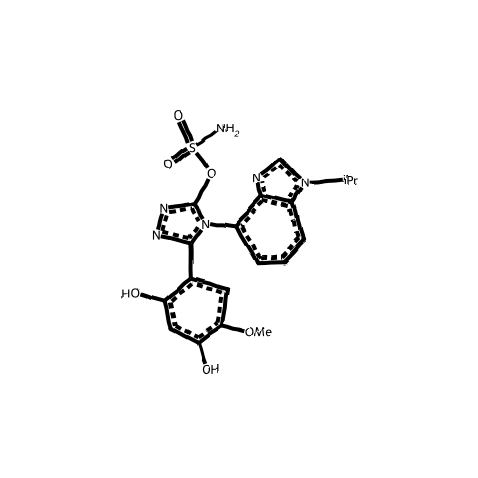 COc1cc(-c2nnc(OS(N)(=O)=O)n2-c2cccc3c2ncn3C(C)C)c(O)cc1O